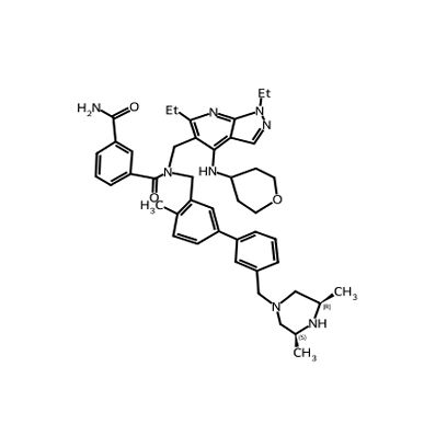 CCc1nc2c(cnn2CC)c(NC2CCOCC2)c1CN(Cc1cc(-c2cccc(CN3C[C@@H](C)N[C@@H](C)C3)c2)ccc1C)C(=O)c1cccc(C(N)=O)c1